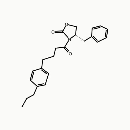 CCCc1ccc(CCCC(=O)N2C(=O)OC[C@@H]2Cc2ccccc2)cc1